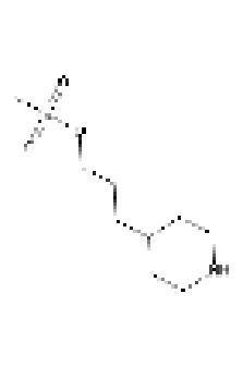 CS(=O)(=O)OCCCC1CCNCC1